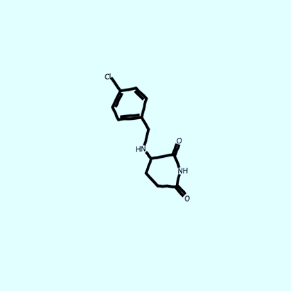 O=C1CCC(NCc2ccc(Cl)cc2)C(=O)N1